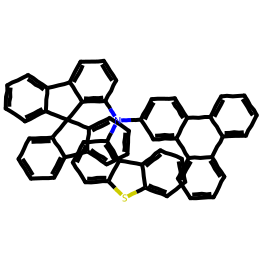 c1ccc2c(c1)-c1ccccc1C21c2ccccc2-c2cccc(N(c3ccc4c5ccccc5c5ccccc5c4c3)c3cccc4sc5ccccc5c34)c21